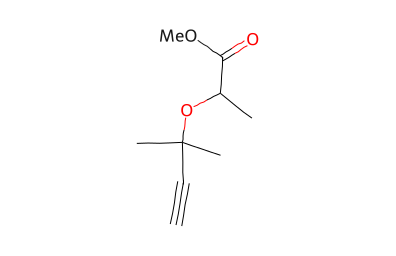 C#CC(C)(C)OC(C)C(=O)OC